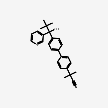 CC(C)(C#N)c1ccc(-c2ccc(C(O)(c3cccnc3)C(C)(C)C)cc2)cc1